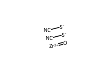 N#C[S-].N#C[S-].[O]=[Zr+2]